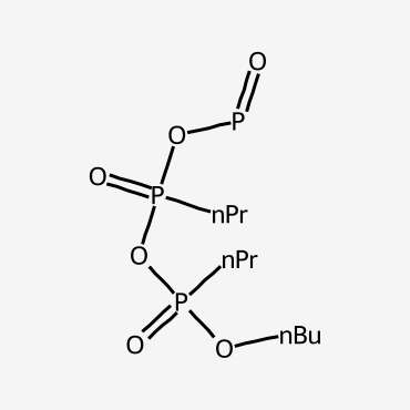 CCCCOP(=O)(CCC)OP(=O)(CCC)OP=O